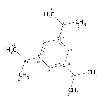 CC(C)[si]1c[si](C(C)C)c[si](C(C)C)c1